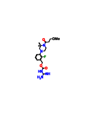 COCCC(=O)N1CCN(c2cccc(COC(=O)NC(=N)N)c2F)C[C@H]1C